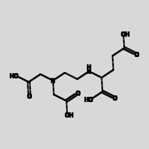 O=C(O)CCC(NCCN(CC(=O)O)CC(=O)O)C(=O)O